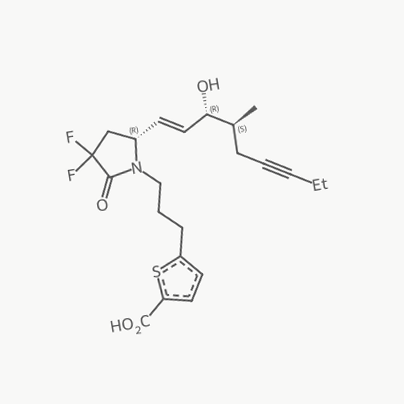 CCC#CC[C@H](C)[C@@H](O)C=C[C@H]1CC(F)(F)C(=O)N1CCCc1ccc(C(=O)O)s1